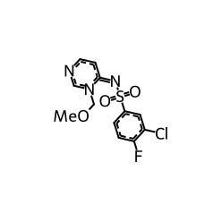 COCn1cnccc1=NS(=O)(=O)c1ccc(F)c(Cl)c1